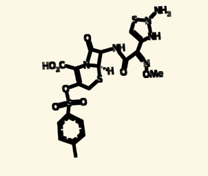 CO/N=C(\C(=O)NC1C(=O)N2C(C(=O)O)=C(OS(=O)(=O)c3ccc(C)cc3)CS[C@H]12)C1=CSN(N)N1